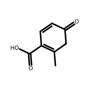 CC1=C(C(=O)O)C=CC(=O)C1